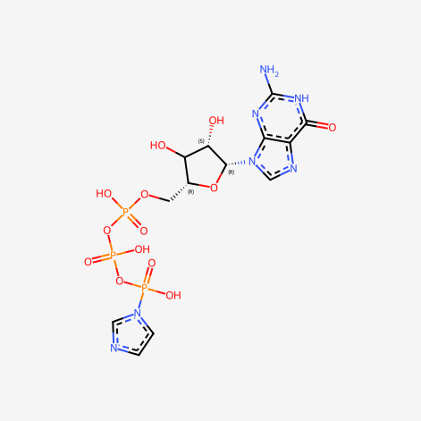 Nc1nc2c(ncn2[C@@H]2O[C@H](COP(=O)(O)OP(=O)(O)OP(=O)(O)n3ccnc3)C(O)[C@@H]2O)c(=O)[nH]1